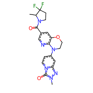 CC1N(C(=O)c2cnc3c(c2)OCCN3c2ccn3c(=O)n(C)nc3c2)CCC1(F)F